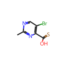 Cc1ncc(Br)c(C(O)=S)n1